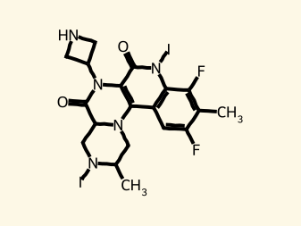 Cc1c(F)cc2c3c(c(=O)n(I)c2c1F)N(C1CNC1)C(=O)C1CN(I)C(C)CN31